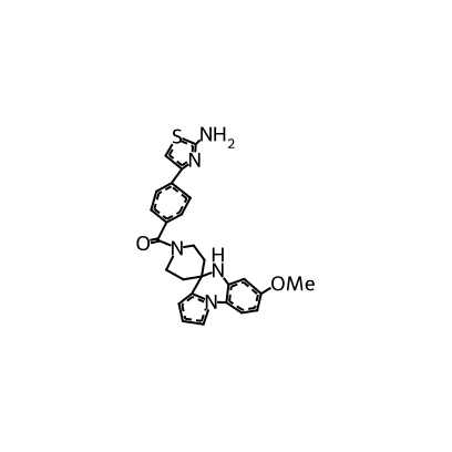 COc1ccc2c(c1)NC1(CCN(C(=O)c3ccc(-c4csc(N)n4)cc3)CC1)c1cccn1-2